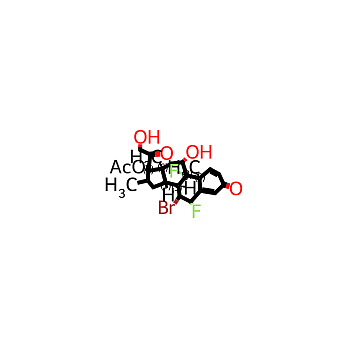 CC(=O)O[C@]1(C(=O)CO)C(C)C[C@H]2[C@@H]3C(Br)C(F)C4=CC(=O)C=C[C@]4(C)[C@@]3(F)C(O)C[C@@]21C